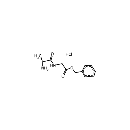 C[C@H](N)C(=O)NCC(=O)OCc1ccccc1.Cl